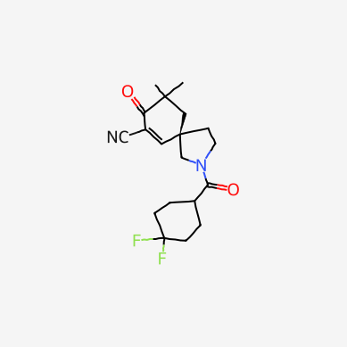 CC1(C)C[C@@]2(C=C(C#N)C1=O)CCN(C(=O)C1CCC(F)(F)CC1)C2